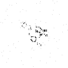 O=c1[nH]c2cnc(NCC3CCNC3)nc2n1Cc1cc(F)ccc1C(F)(F)F